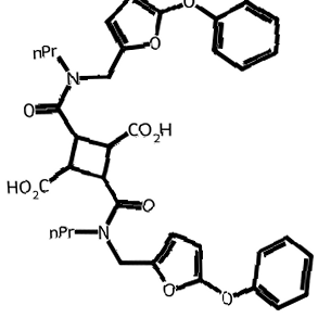 CCCN(Cc1ccc(Oc2ccccc2)o1)C(=O)C1C(C(=O)O)C(C(=O)N(CCC)Cc2ccc(Oc3ccccc3)o2)C1C(=O)O